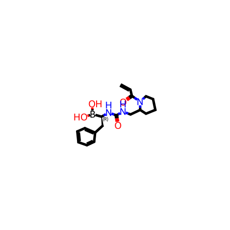 C=CC(=O)N1CCCCC1CNC(=O)N[C@@H](Cc1ccccc1)B(O)O